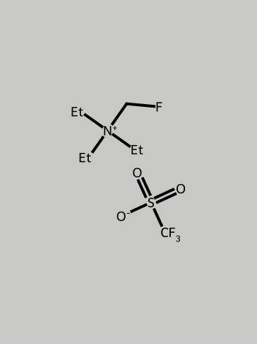 CC[N+](CC)(CC)CF.O=S(=O)([O-])C(F)(F)F